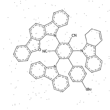 CC(C)(C)c1ccc(-c2c(-n3c4c(c5ccccc53)C=CCC4)c(C#N)c(-n3c4ccccc4c4ccc5c6ccccc6oc5c43)c(C#N)c2-n2c3ccccc3c3ccccc32)cc1